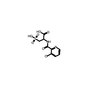 O=C(NC(CS(=O)(=O)O)C(=O)O)c1ncccc1Cl